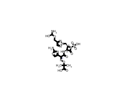 CC(C)(O/N=C(\C(=O)N[C@@H]1C(=O)N(S(=O)(=O)O)[C@@H]1Cn1ncc(COC(N)O)n1)c1csc(N)n1)C(=O)O